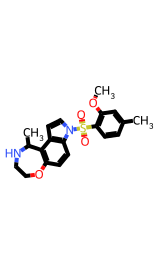 COc1cc(C)ccc1S(=O)(=O)n1ccc2c3c(ccc21)OCCNC3C